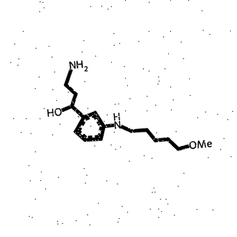 COCCCCCNc1cccc(C(O)CCN)c1